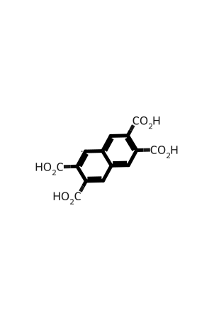 O=C(O)c1[c]c2cc(C(=O)O)c(C(=O)O)cc2cc1C(=O)O